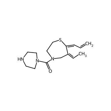 C=C/C=C1/SCCN(C(=O)N2CCNCC2)C/C1=C/C